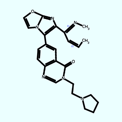 C/C=C\C(=N/C)c1nc2occn2c1-c1ccc2ncn(CCN3CCCC3)c(=O)c2c1